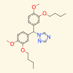 CCCCOc1cc(C(c2ccc(OC)c(OCCCC)c2)n2cncn2)ccc1OC